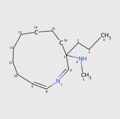 CCCC1(NC)/C=N\C=C/CCCCCCC1